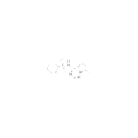 Cc1ccc2c(NS(=O)(=O)C3CCCCC3)ncnn12